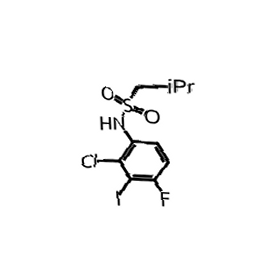 CC(C)CS(=O)(=O)Nc1ccc(F)c(I)c1Cl